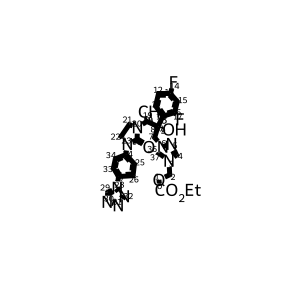 CCOC(=O)OCN1C=NN(C[C@](O)(c2ccc(F)cc2F)[C@@H](C)N2CCN(c3ccc(-n4cnnn4)cc3)C2=O)C1